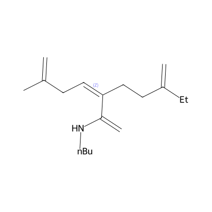 C=C(C)C/C=C(/CCC(=C)CC)C(=C)NCCCC